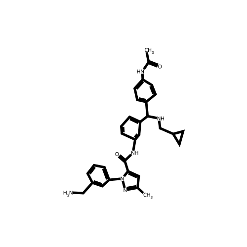 CC(=O)Nc1ccc(C(NCC2CC2)c2cccc(NC(=O)c3cc(C)nn3-c3cccc(CN)c3)c2)cc1